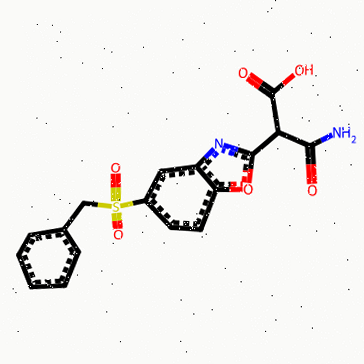 NC(=O)C(C(=O)O)c1nc2cc(S(=O)(=O)Cc3ccccc3)ccc2o1